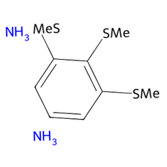 CSc1cccc(SC)c1SC.N.N